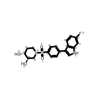 O=S(=O)(c1ccc(-c2c[nH]c3cc(F)ccc23)cc1)N1CC[C@@H](O)[C@H](O)C1